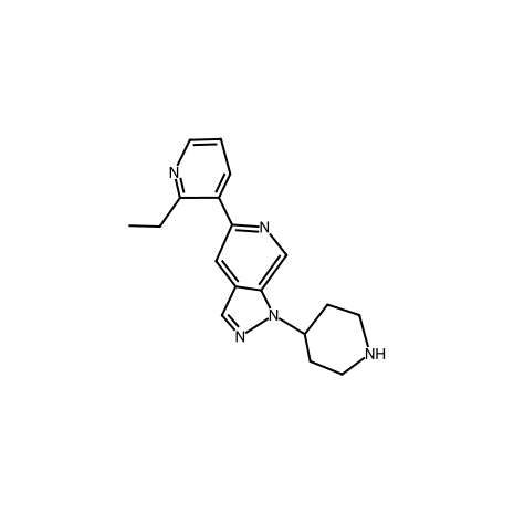 CCc1ncccc1-c1cc2cnn(C3CCNCC3)c2cn1